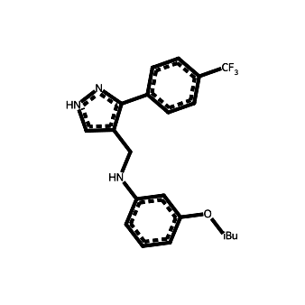 CCC(C)Oc1cccc(NCc2c[nH]nc2-c2ccc(C(F)(F)F)cc2)c1